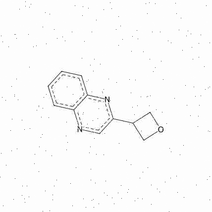 c1ccc2nc(C3COC3)cnc2c1